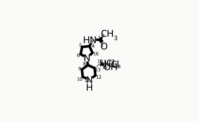 CC(=O)NC1CCN(C2CCNC[C@H]2CO)C1.Cl.Cl